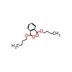 CCCCOC(=O)c1[c]cccc1C(=O)OCCCC